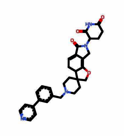 O=C1CCC(N2CC3=C4OCC5(CCN(Cc6cccc(-c7ccncc7)c6)CC5)C4CC=C3C2=O)C(=O)N1